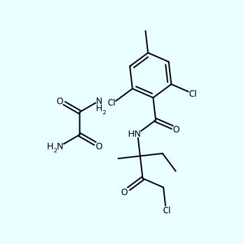 CCC(C)(NC(=O)c1c(Cl)cc(C)cc1Cl)C(=O)CCl.NC(=O)C(N)=O